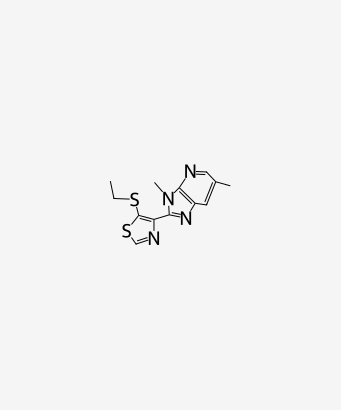 CCSc1scnc1-c1nc2cc(C)cnc2n1C